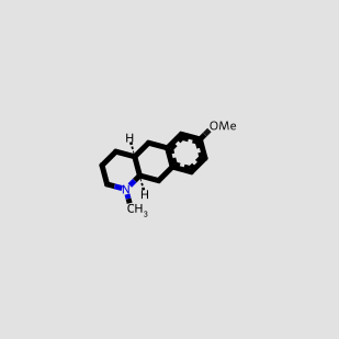 COc1ccc2c(c1)C[C@@H]1CCCN(C)[C@@H]1C2